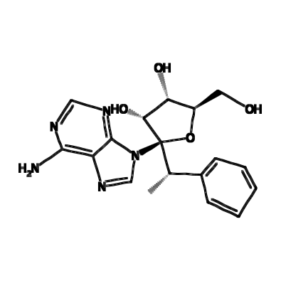 C[C@@H](c1ccccc1)[C@@]1(n2cnc3c(N)ncnc32)O[C@H](CO)[C@@H](O)[C@H]1O